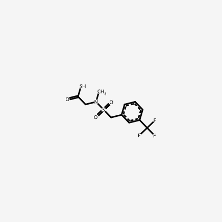 CN(CC(=O)S)S(=O)(=O)Cc1cccc(C(F)(F)F)c1